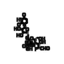 O=C[C@H](F)[C@@H](O)[C@H](O)[C@@H](CO)OP(=O)(OC[C@H]1O[C@@H](n2ccc(=O)[nH]c2=O)[C@H](O)[C@@H]1O)OP(=O)(O)O